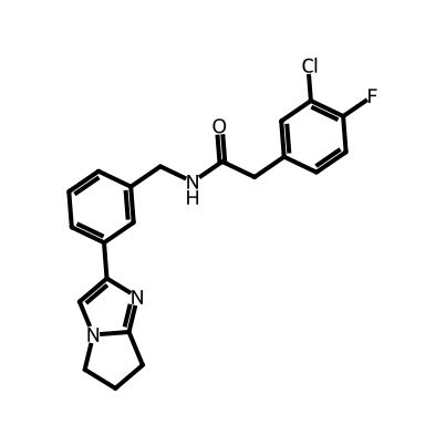 O=C(Cc1ccc(F)c(Cl)c1)NCc1cccc(-c2cn3c(n2)CCC3)c1